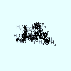 Cc1cc(CC(=O)N[C@@H](CC(N)=O)C(=O)O)c(C(C)(C)CC(=O)N(Cc2nn(CC(F)(F)F)c3c(-c4ccc(C#CC(C)(C)S(C)(=O)=O)nc4[C@H](Cc4cc(F)cc(F)c4)NC(=O)Cn4nc(C(F)(F)F)c5c4C(F)(F)[C@@H]4C[C@H]54)ccc(Cl)c23)[SH](=O)=O)c(OP(=O)(OC(C)C)OC(C)C)c1